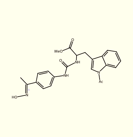 COC(=O)C(Cc1cn(C(C)=O)c2ccccc12)NC(=O)Nc1ccc(/C(C)=N/O)cc1